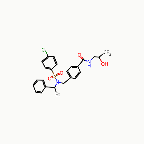 CCC(c1ccccc1)N(Cc1ccc(C(=O)NCC(O)C(F)(F)F)cc1)S(=O)(=O)c1ccc(Cl)cc1